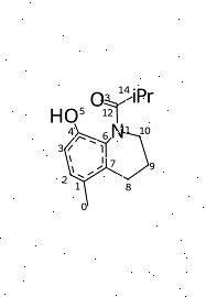 Cc1ccc(O)c2c1CCCN2C(=O)C(C)C